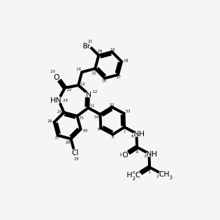 C=C(C)NC(=O)Nc1ccc(C2=NC(Cc3ccccc3Br)C(=O)Nc3ccc(Cl)cc32)cc1